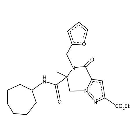 CCOC(=O)c1cc2n(n1)CC(C)(C(=O)NC1CCCCCC1)N(Cc1ccco1)C2=O